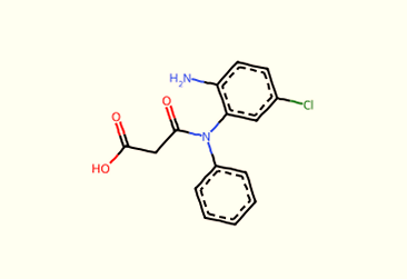 Nc1ccc(Cl)cc1N(C(=O)CC(=O)O)c1ccccc1